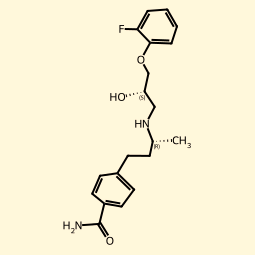 C[C@H](CCc1ccc(C(N)=O)cc1)NC[C@H](O)COc1ccccc1F